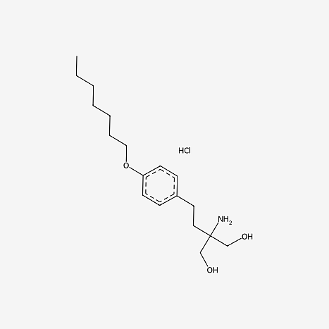 CCCCCCCOc1ccc(CCC(N)(CO)CO)cc1.Cl